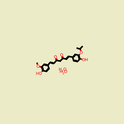 COc1cc(/C=C/C(=O)CC(=O)/C=C/c2ccc(O)c(OC(C)C)c2)ccc1O.O.O